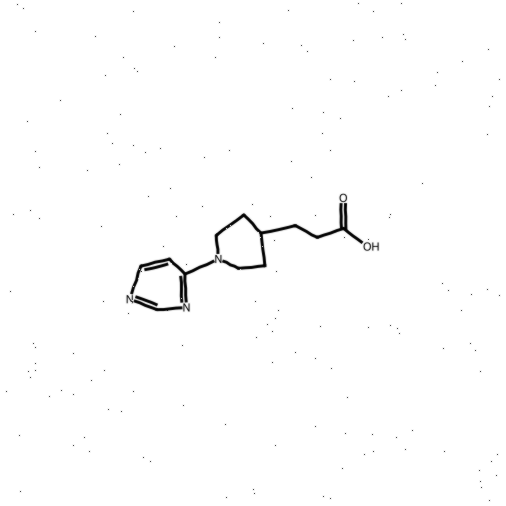 O=C(O)CCC1CCN(c2ccncn2)CC1